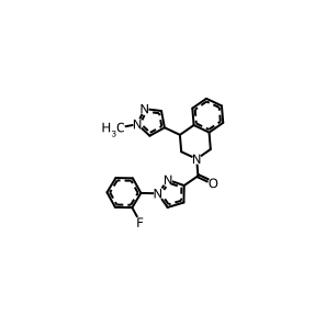 Cn1cc(C2CN(C(=O)c3ccn(-c4ccccc4F)n3)Cc3ccccc32)cn1